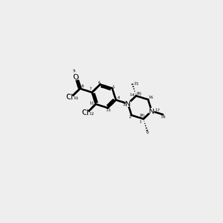 C[C@@H]1CN(c2ccc(C(=O)Cl)c(Cl)c2)[C@H](C)CN1C